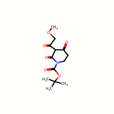 COCC(=O)C1C(=O)CCN(C(=O)OC(C)(C)C)C1=O